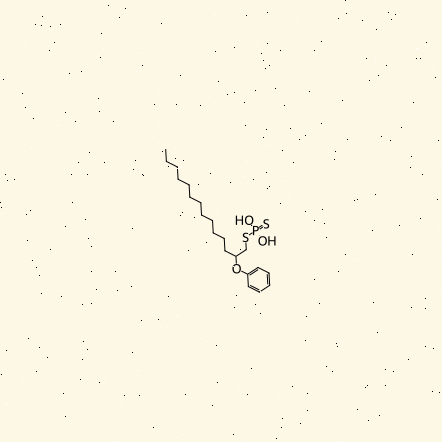 CCCCCCCCCCCCC(CSP(O)(O)=S)Oc1ccccc1